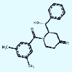 Cc1cc(C)cc(C(=O)N2CCC(=O)C[C@@H]2[C@H](O)c2ccccc2)c1